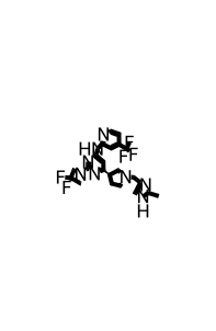 Cc1nc(CN2CC[C@@H](c3cc(Nc4cc(C(F)(F)F)ccn4)nc(N4CC(F)(F)C4)n3)C2)c[nH]1